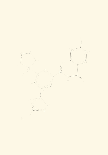 Cc1cnc(-c2cc(C(=O)N[C@H](C)c3cnc(C(F)(F)F)nc3)cc(P3(=O)CCCC3)c2)s1